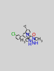 CN1C(=N)N[C@](C)(c2cc(-c3cccc(Cl)c3)ccn2)[C@H](c2ccc(C3CC3)cc2)C1=O